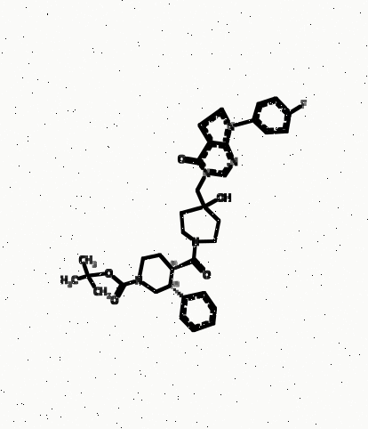 CC(C)(C)OC(=O)N1CC[C@@H](C(=O)N2CCC(O)(Cn3cnc4c(ccn4-c4ccc(F)cc4)c3=O)CC2)[C@H](c2ccccc2)C1